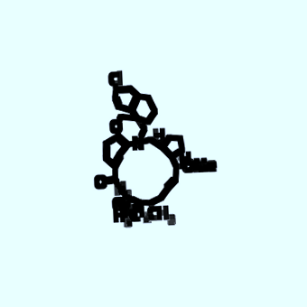 CO[C@H]1/C=C/C[C@H](C)[C@@H](C)S(N)(=O)=NC(=O)c2ccc3c(c2)N(C[C@@H]2CCC[C@H]21)C[C@@]1(CCCc2cc(Cl)ccc21)CO3